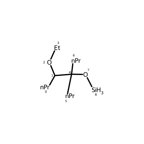 CCCC(OCC)C(CCC)(CCC)O[SiH3]